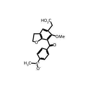 COc1c(CC(=O)O)cc2c(c1C(=O)c1ccc([S+](C)[O-])cc1)OCC2